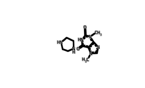 C1CNCCN1.Cn1cnc2c1c(=O)[nH]c(=O)n2C